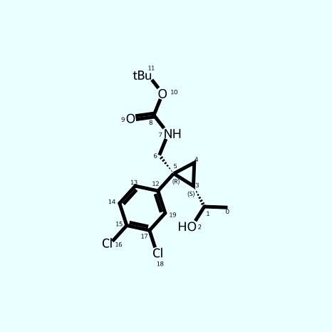 CC(O)[C@H]1C[C@]1(CNC(=O)OC(C)(C)C)c1ccc(Cl)c(Cl)c1